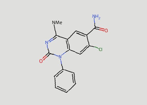 CNc1nc(=O)n(-c2ccccc2)c2cc(Cl)c(C(N)=O)cc12